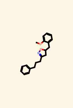 COc1ccccc1CC1CC(CCCc2ccccc2)=NO1